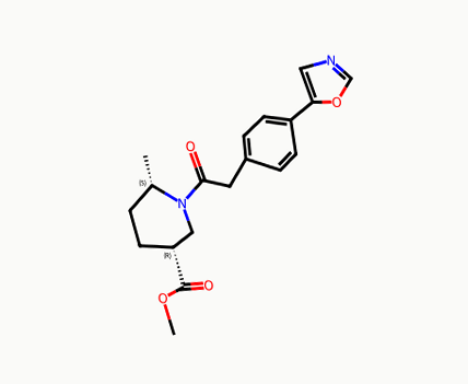 COC(=O)[C@@H]1CC[C@H](C)N(C(=O)Cc2ccc(-c3cnco3)cc2)C1